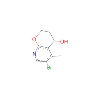 Cc1c(Br)cnc2c1C(O)CCO2